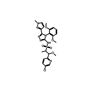 COc1cccc(OC)c1-n1c(NS(=O)(=O)C(C)C(OC)c2ccc(Cl)cn2)nnc1-c1ccn(C)n1